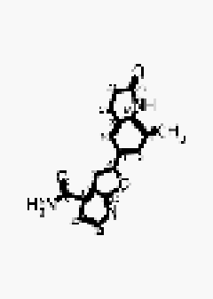 Cc1cc(C2Cc3c(C(N)=O)ccnc3O2)cc2c1NC(=O)CC2